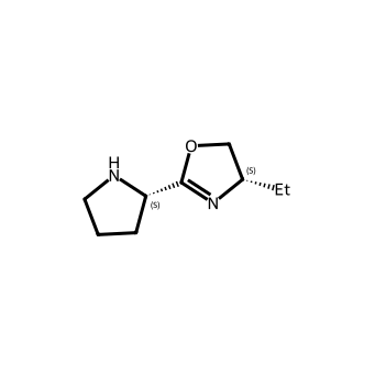 CC[C@H]1COC([C@@H]2CCCN2)=N1